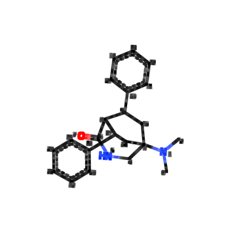 CN(C)C12CNC(=O)C(C(c3ccccc3)C1)C(c1ccccc1)C2